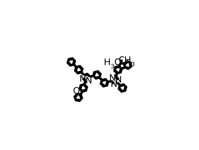 CC1(C)c2ccccc2-c2cc(-c3nc(-c4ccccc4)nc(-c4cccc(-c5cccc(-c6cc(-c7ccc(-c8ccccc8)cc7)nc(-c7ccc8c(c7)oc7ccccc78)n6)c5)c4)n3)ccc21